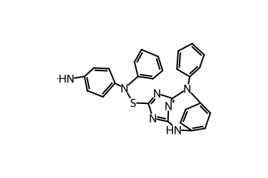 [NH]c1ccc(N(Sc2nc3nc(n2)N(c2ccccc2)c2ccc(cc2)N3)c2ccccc2)cc1